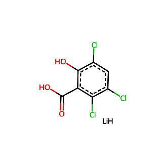 O=C(O)c1c(O)c(Cl)cc(Cl)c1Cl.[LiH]